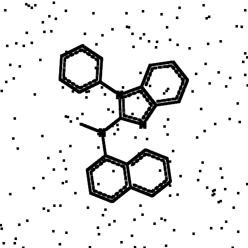 CN(c1cccc2ccccc12)c1nc2ccccc2n1-c1ccccc1